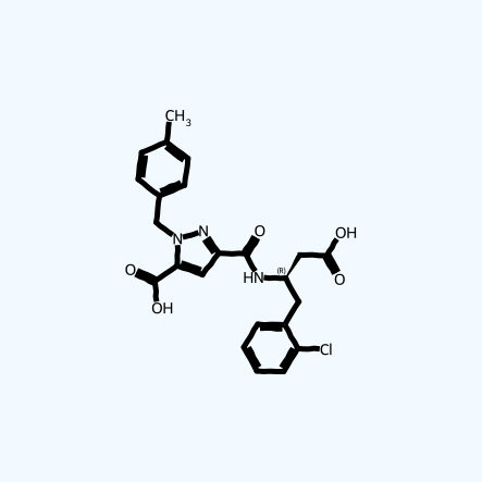 Cc1ccc(Cn2nc(C(=O)N[C@@H](CC(=O)O)Cc3ccccc3Cl)cc2C(=O)O)cc1